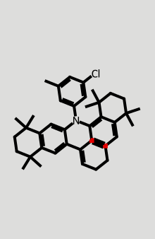 Cc1cc(Cl)cc(N(c2cc3c(cc2C2=CCCC=C2)C(C)(C)CCC3(C)C)c2cccc3c2C(C)(C)CCC3(C)C)c1